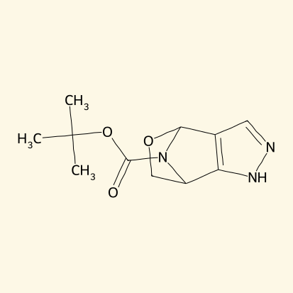 CC(C)(C)OC(=O)N1C2COC1c1cn[nH]c12